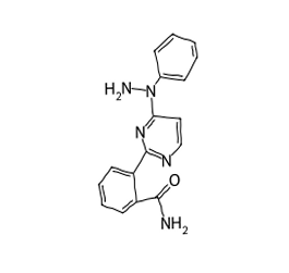 NC(=O)c1ccccc1-c1nccc(N(N)c2ccccc2)n1